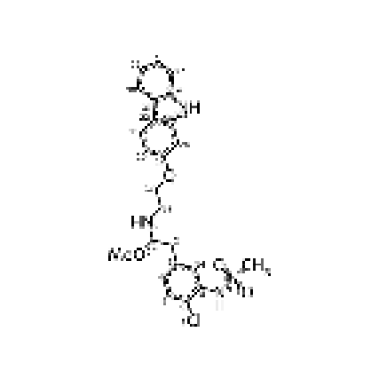 COC(Cc1ccc(Cl)c(NS(C)(=O)=O)c1)NCCOc1ccc2c(c1)[nH]c1ccccc12